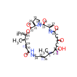 CC1=C\[C@](O)(I)CC(=O)Cc2nc(co2)C(=O)N2CCC=C2C(=O)O[C@H](C(C)C)C(C)/C=C/C(=O)NC\C=C\1